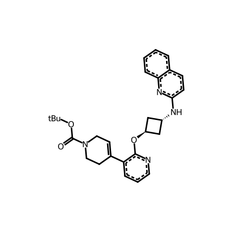 CC(C)(C)OC(=O)N1CC=C(c2cccnc2O[C@H]2C[C@H](Nc3ccc4ccccc4n3)C2)CC1